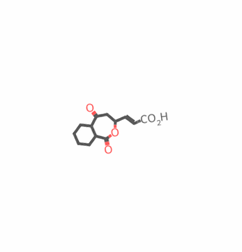 O=C(O)C=CC1CC(=O)C2CCCCC2C(=O)O1